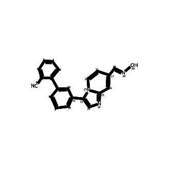 N#Cc1ccccc1-c1cccc(-c2cnc3cc(C=NO)ccn23)c1